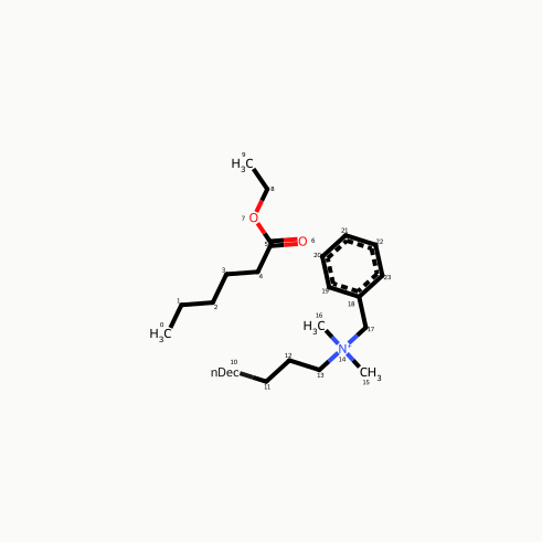 CCCCCC(=O)OCC.CCCCCCCCCCCCC[N+](C)(C)Cc1ccccc1